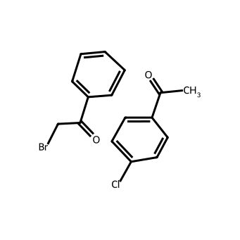 CC(=O)c1ccc(Cl)cc1.O=C(CBr)c1ccccc1